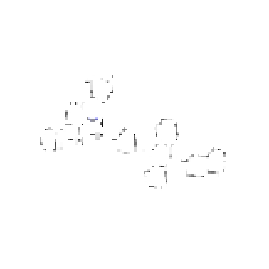 Cc1ccc(C2=CC=C(c3ccccn3)C(=N)/C2=N\Nc2ccc(-c3c4ccccc4c(-c4ccc5ccccc5c4)c4ccccc34)cc2)nc1